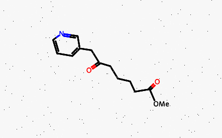 COC(=O)CCCCC(=O)Cc1cccnc1